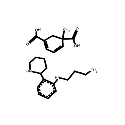 CC1(C(=O)O)C=CC=C(C(=O)O)C1.CCCCNc1ccccc1C1CCCCN1